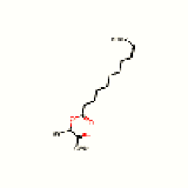 CCCCCC/C=C\CCCCCCCC(=O)OC(C(=O)OC)C(C)C